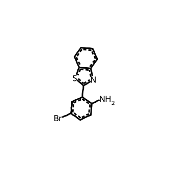 Nc1ccc(Br)cc1-c1nc2ccccc2s1